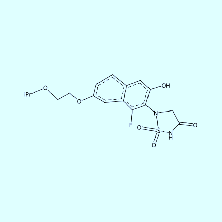 CC(C)OCCOc1ccc2cc(O)c(N3CC(=O)NS3(=O)=O)c(F)c2c1